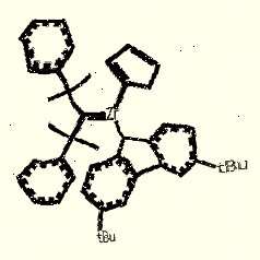 CC(C)(C)c1ccc2c(c1)-c1cc(C(C)(C)C)ccc1[CH]2[Zr]([C]1=CC=CC1)=[C](C(C)(C)c1ccccc1)C(C)(C)c1ccccc1